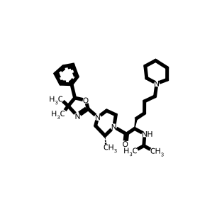 CC(C)N[C@H](CCCCN1CCCCC1)C(=O)N1CCN(C2=NC(C)(C)C(c3ccccc3)O2)C[C@H]1C